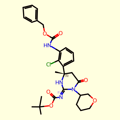 CC(C)(C)OC(=O)/N=C1\N[C@](C)(c2cccc(NC(=O)OCc3ccccc3)c2Cl)CC(=O)N1C1CCCOC1